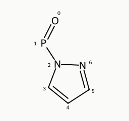 O=Pn1cccn1